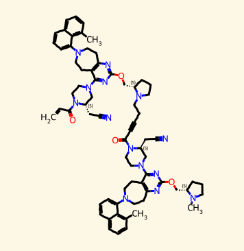 C=CC(=O)N1CCN(c2nc(OC[C@@H]3CCCN3CCC#CC(=O)N3CCN(c4nc(OC[C@@H]5CCCN5C)nc5c4CCN(c4cccc6cccc(C)c46)CC5)C[C@@H]3CC#N)nc3c2CCN(c2cccc4cccc(C)c24)CC3)C[C@@H]1CC#N